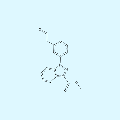 COC(=O)c1nn(-c2cccc(CC=O)c2)c2ccccc12